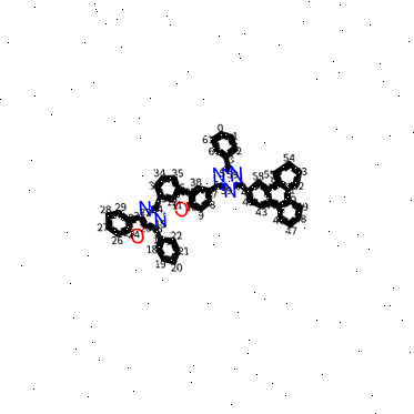 c1ccc(-c2nc(-c3ccc4oc5c(-c6nc(-c7ccccc7)c7oc8ccccc8c7n6)cccc5c4c3)nc(-c3ccc4c5ccccc5c5ccccc5c4c3)n2)cc1